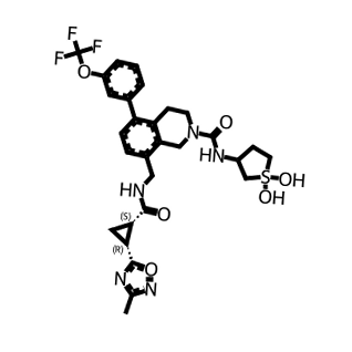 Cc1noc([C@@H]2C[C@@H]2C(=O)NCc2ccc(-c3cccc(OC(F)(F)F)c3)c3c2CN(C(=O)NC2CCS(O)(O)C2)CC3)n1